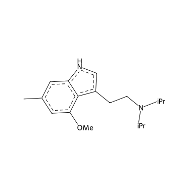 COc1cc(C)cc2[nH]cc(CCN(C(C)C)C(C)C)c12